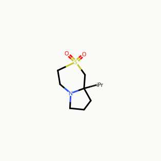 CC(C)C12CCCN1CCS(=O)(=O)C2